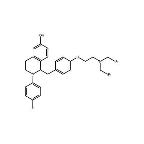 CC(C)CN(CCOc1ccc(CC2c3ccc(O)cc3CCN2c2ccc(F)cc2)cc1)CC(C)C